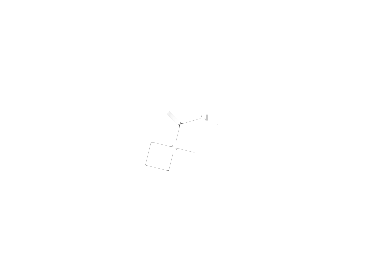 NC(=O)[N+]1([O-])CCC1